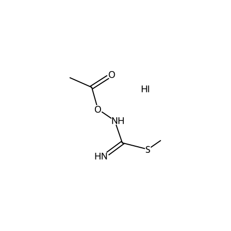 CSC(=N)NOC(C)=O.I